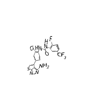 Nc1ncnc2scc(-c3ccc(NC(=O)Nc4cc(C(F)(F)F)ccc4F)c(Cl)c3)c12